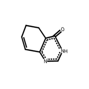 O=c1[nH]cnc2c1CCC=C2